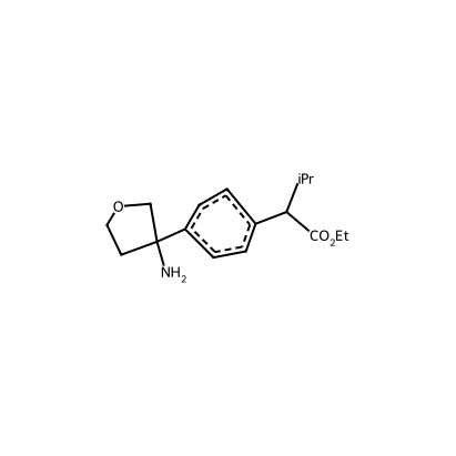 CCOC(=O)C(c1ccc(C2(N)CCOC2)cc1)C(C)C